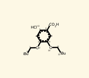 CCC(C)COc1ccc(C(=O)O)cc1OCC(C)CC.Cl